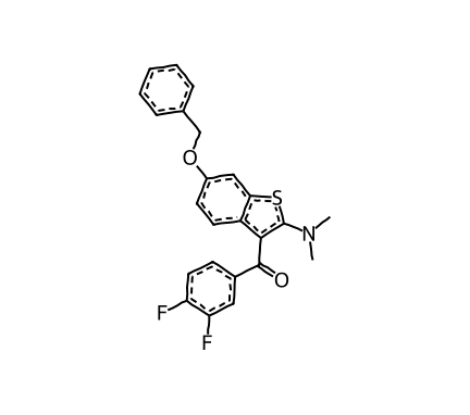 CN(C)c1sc2cc(OCc3ccccc3)ccc2c1C(=O)c1ccc(F)c(F)c1